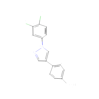 O=C(O)c1ccc(-c2cnn(-c3ccc(Cl)c(Cl)c3)c2)cc1